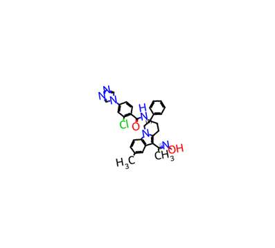 C/C(=N\O)c1c2n(c3ccc(C)cc13)C[C@@](NC(=O)c1ccc(-n3cnnc3)cc1Cl)(c1ccccc1)CC2